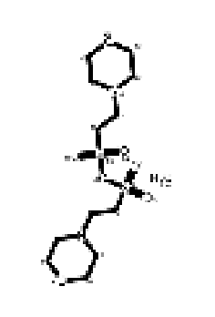 O.O=S(=O)(CCN1CCOCC1)OS(=O)(=O)CCN1CCOCC1